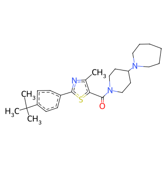 Cc1nc(-c2ccc(C(C)(C)C)cc2)sc1C(=O)N1CCC(N2CCCCCC2)CC1